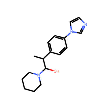 CC(c1ccc(-n2ccnc2)cc1)C(O)N1CCCCC1